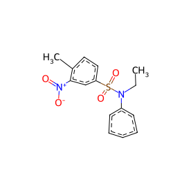 CCN(c1ccccc1)S(=O)(=O)c1ccc(C)c([N+](=O)[O-])c1